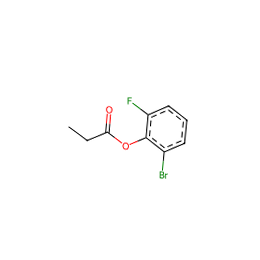 CCC(=O)Oc1c(F)cccc1Br